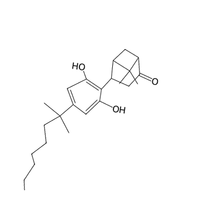 CCCCCCC(C)(C)c1cc(O)c(C2CC(=O)C3CC2C3(C)C)c(O)c1